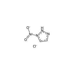 O=[N+]([O-])[n+]1ccn[nH]1.[Cl-]